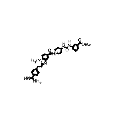 COC(=O)c1cccc(NC(=O)NC2CCN(NC(=O)c3ccc4c(c3)nc(CCc3ccc(C(=N)N)cc3)n4C)CC2)c1